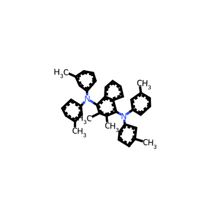 Cc1cccc(N(c2cccc(C)c2)c2c(C)c(C)c(N(c3cccc(C)c3)c3cccc(C)c3)c3ccccc23)c1